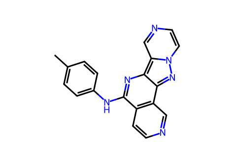 Cc1ccc(Nc2nc3c(nn4ccncc34)c3cnccc23)cc1